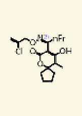 C=C(Cl)CO/N=C(/CCC)C1=C(O)C(C)C2(CCCC2)OC1=O